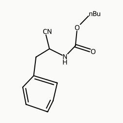 CCCCOC(=O)NC(C#N)Cc1ccccc1